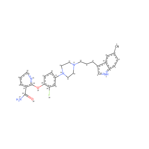 N#Cc1ccc2[nH]cc(CCCN3CCN(c4ccc(Oc5ncccc5C(N)=O)c(F)c4)CC3)c2c1